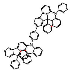 c1ccc(-c2ccccc2N(c2ccc(-c3ccc4c(c3)C3(c5ccccc5)c5ccccc5N(c5ccccc5)c5cccc-4c53)cc2)c2ccc3c(c2)C(c2ccccc2)(c2ccccc2)c2ccccc2-3)cc1